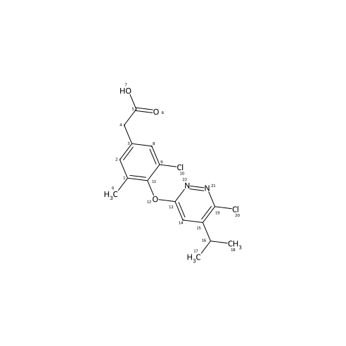 Cc1cc(CC(=O)O)cc(Cl)c1Oc1cc(C(C)C)c(Cl)nn1